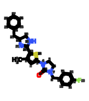 Cc1cc(N2CCN(Cc3ccc(F)cc3)C2=O)sc1C1=NC(Cc2ccccc2)CN1